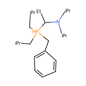 CCC(N(C(C)C)C(C)C)[PH](Cc1ccccc1)(CC(C)C)CC(C)C